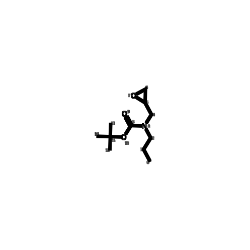 CCCN(CC1CO1)C(=O)OC(C)(C)C